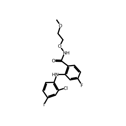 COCCONC(=O)c1ccc(F)cc1Nc1ccc(I)cc1Cl